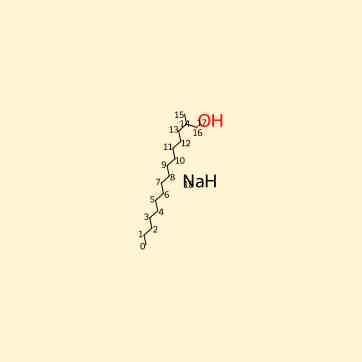 CCCCCCCCCCCCCCC(C)CO.[NaH]